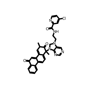 CC1C=c2c(ccc3c2=CC(=O)c2ccccc2-3)C(C)(N2CN(CCNC(=O)c3cc(Cl)ccn3)c3cncnc32)C1=O